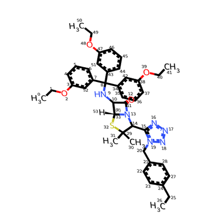 CCOc1cccc(C(NC2C(=O)N3C(c4nnnn4Cc4ccc(CC)cc4)C(C)(C)S[C@H]23)(c2cccc(OCC)c2)c2cccc(OCC)c2)c1